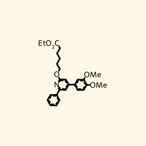 CCOC(=O)CCCCCOc1cc(-c2ccc(OC)c(OC)c2)cc(-c2ccccc2)n1